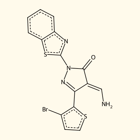 N/C=C1/C(=O)N(c2nc3ccccc3s2)N=C1c1sccc1Br